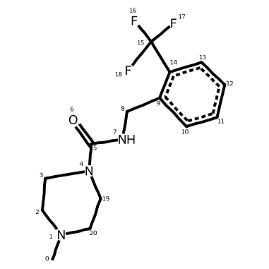 CN1CCN(C(=O)NCc2ccccc2C(F)(F)F)CC1